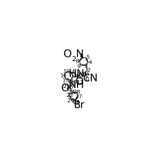 N#C[C@H](Cc1ccc([N+](=O)[O-])cc1)NC(=O)C1CCCCC1NC(=O)c1ccc(Br)cc1